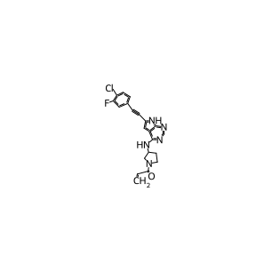 C=CC(=O)N1CCC(Nc2ncnc3[nH]c(C#Cc4ccc(Cl)c(F)c4)cc23)C1